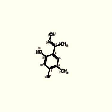 CC(=NO)c1cc(C)c(Br)cc1O